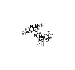 CCC(F)(F)c1cnc2c(c1)N(C(=O)CN1C[C@@H](C)NC[C@@H]1CN1CCCC1=O)CC2(C)C.Cl